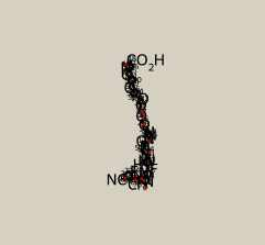 Cc1nc2cc(F)c(-c3cnc(N4CCN(C(=O)Cn5cc(COCCOCCOCC(=O)N6CCC(Oc7cccc(Oc8ccc(C(=O)O)cn8)c7)CC6)nn5)[C@H](C)C4)nc3)nc2c(N[C@H](C)c2cc(C#N)ccc2F)c1Cl